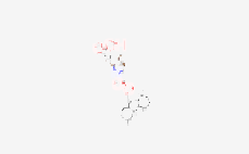 CC(C)(Sc1nc(CC(=O)OCC2c3ccccc3-c3ccccc32)cs1)C(=O)O